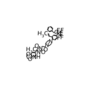 CC=Cc1cc(C(OCc2ccccc2)(C(F)(F)F)C(F)(F)F)ccc1N1CCN(C(=O)CN2C(=O)NC(C)(c3cnc4c(c3)OCCO4)C2=O)CC1